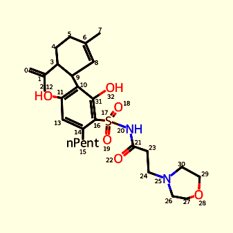 C=C(C)C1CCC(C)=CC1c1c(O)cc(CCCCC)c(S(=O)(=O)NC(=O)CCN2CCOCC2)c1O